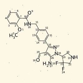 COc1ccccc1C(=O)NCc1ccc(-c2nn(C3CNCC3(F)F)c(N)c2C=O)cc1